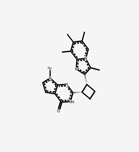 [2H]n1ccc2c(=O)[nH]c([C@H]3CC[C@H]3c3nc4c(C)c(C)c(C)cn4c3C)nc21